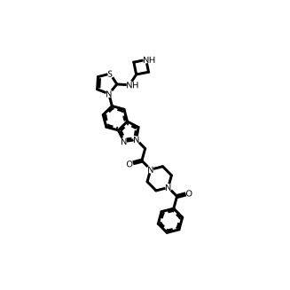 O=C(Cn1cc2cc(N3C=CSC3NC3CNC3)ccc2n1)N1CCN(C(=O)c2ccccc2)CC1